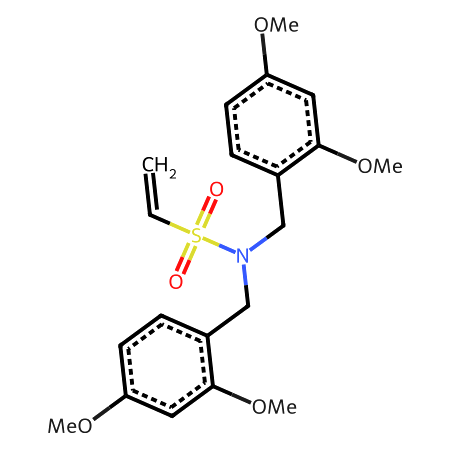 C=CS(=O)(=O)N(Cc1ccc(OC)cc1OC)Cc1ccc(OC)cc1OC